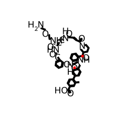 Cc1cc(C(=O)O)ccc1-c1ccc(C[C@@H]2NC(=O)[C@]3(Cc4ccccc4)CCCN(C3)C(=O)/C=C/C(=O)NCC[C@@H](C(=O)NCCOCCN)NC(=O)Cc3ccccc3CNC2=O)cc1